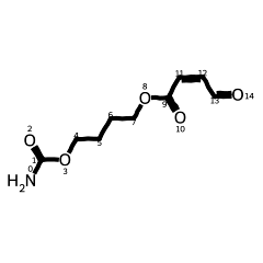 NC(=O)OCCCCOC(=O)/C=C\C=O